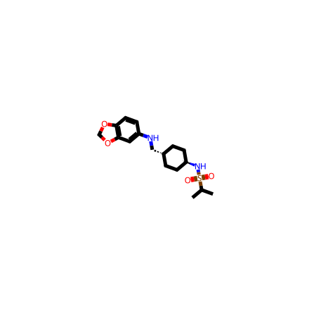 CC(C)S(=O)(=O)N[C@H]1CC[C@H](CNc2ccc3c(c2)OCO3)CC1